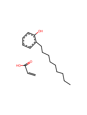 C=CC(=O)O.CCCCCCCCCc1ccccc1O